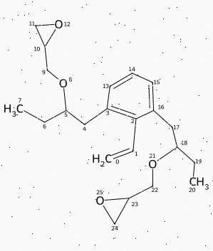 C=Cc1c(CC(CC)OCC2CO2)cccc1CC(CC)OCC1CO1